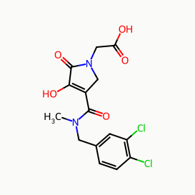 CN(Cc1ccc(Cl)c(Cl)c1)C(=O)C1=C(O)C(=O)N(CC(=O)O)C1